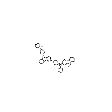 CC1(c2ccc(-n3c4ccccc4c4cc(-c5ccc(N(c6ccccc6)c6ccc7c(c6)C(C)(C)c6ccccc6-7)cc5)ccc43)cc2)C=CC=CC1